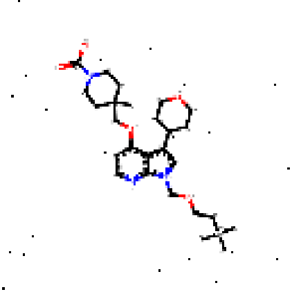 CC1(COc2ccnc3c2c(C2CCOCC2)cn3COCC[Si](C)(C)C)CCN(C(=O)O)CC1